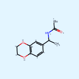 CC(NC(=O)C(C)(C)C)c1ccc2c(c1)OCCO2